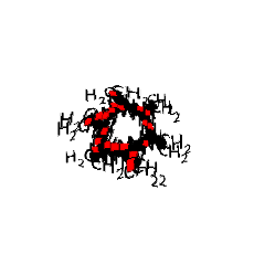 C=c1c(=C)c2nc3c(nc12)c1nc2c4nc5c6nc7c(=C)c(=C)c7nc6c6nc7c8nc9c%10nc%11c(=C)c(=C)c%11nc%10c%10nc%11c%12nc%13c%14nc%15c(=C)c(=C)c%15nc%14c%14nc%15c%16nc%17c%18nc%19c(=C)c(=C)c%19nc%18c%18nc%19c%20nc%21c%22nc%23c(=C)c(=C)c%23nc%22c%22nc%23c%24nc3c3nc%24c%23nc%22c%21nc%20c%19nc%18c%17nc%16c%15nc%14c%13nc%12c%11nc%10c9nc8c7nc6c5nc4c2nc13